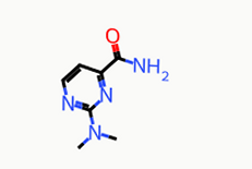 CN(C)c1nccc(C(N)=O)n1